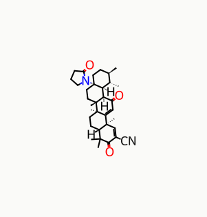 C[C@@H]1[C@H]2[C@H]3C(=O)C=C4[C@@]5(C)C=C(C#N)C(=O)C(C)(C)[C@@H]5CC[C@@]4(C)[C@]3(C)CC[C@@]2(N2CCCC2=O)CC[C@H]1C